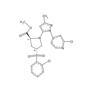 COC(=O)[C@@H]1C[C@@H](S(=O)(=O)c2ccccc2Cl)CN1c1cc(C)nn1-c1ccnc(Cl)c1